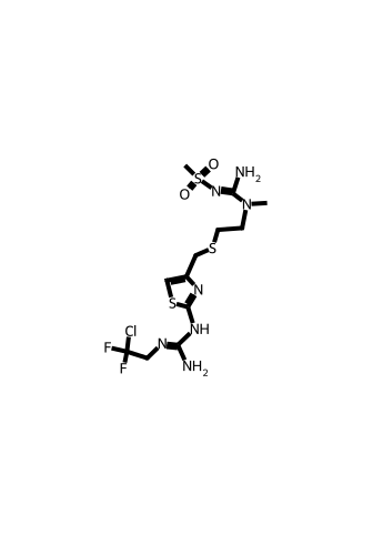 CN(CCSCc1csc(NC(N)=NCC(F)(F)Cl)n1)C(N)=NS(C)(=O)=O